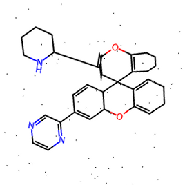 C1=CC2C(C=C1c1cnccn1)OC1=CCCC=C1C21C2=C(CCCC2)OC2C=C(C3CCCCN3)CCC21